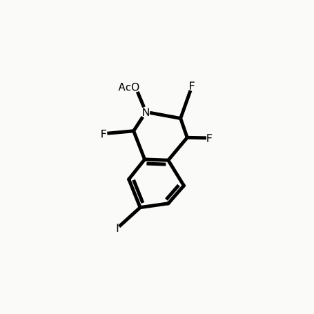 CC(=O)ON1C(F)c2cc(I)ccc2C(F)C1F